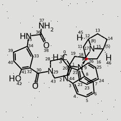 Cc1nc2ccccc2n1[C@H]1C[C@H]2CC[C@@H](C1)N2CCC1(c2ccccc2)CCN(C(=O)c2cc(NC(N)=O)ccc2O)CC1